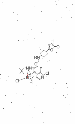 CC1(C)CCC2(CC1)N[C@@H](COCN[C@H]1CC[C@H](c3n[nH]c(=O)o3)CC1)[C@H](c1ccnc(Cl)c1F)[C@]21CNc2nc(Cl)ccc21